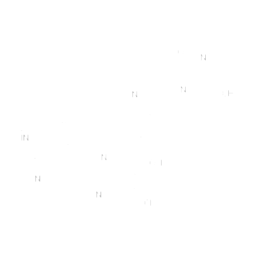 Cc1noc(CN2CCC(n3c([C@@H](C)O)nc4cnc5[nH]ccc5c43)CC2)n1